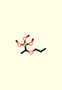 CCCOC(C)[Si](OC)(OC)OC